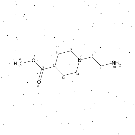 COC(=O)C1CCN(CCN)CC1